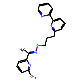 C/C(=N\OCCCc1cccc(-c2ccccn2)n1)c1cccc(C)n1